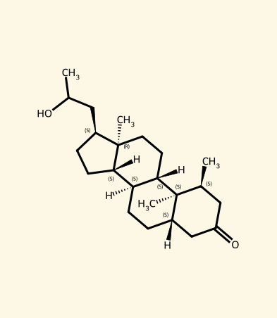 CC(O)C[C@@H]1CC[C@H]2[C@@H]3CC[C@H]4CC(=O)C[C@H](C)[C@]4(C)[C@H]3CC[C@]12C